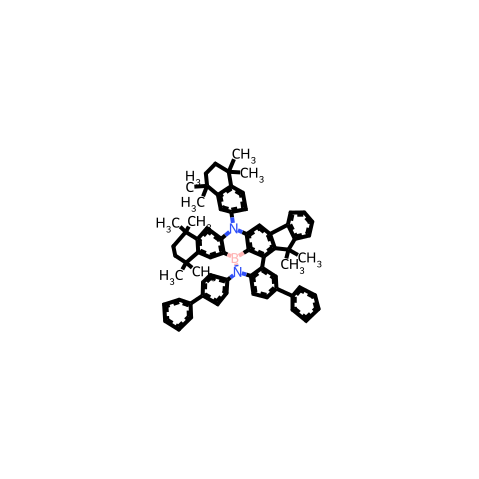 CC1(C)CCC(C)(C)c2cc(N3c4cc5c(cc4B4c6c3cc3c(c6-c6cc(-c7ccccc7)ccc6N4c4ccc(-c6ccccc6)cc4)C(C)(C)c4ccccc4-3)C(C)(C)CCC5(C)C)ccc21